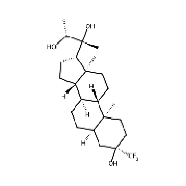 C[C@@H](O)[C@](C)(O)[C@H]1CC[C@H]2[C@@H]3CC[C@@H]4C[C@@](O)(C(F)(F)F)CC[C@]4(C)[C@H]3CC[C@]12C